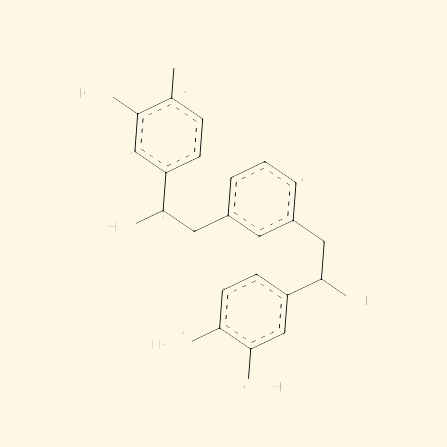 CC(Cc1cccc(CC(C)c2ccc(C(=O)O)c(C(=O)O)c2)c1)c1ccc(C(=O)O)c(C(=O)O)c1